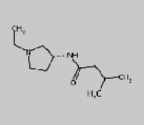 CCN1CC[C@@H](NC(=O)CC(C)C)C1